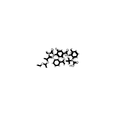 CCOC(C)OC(C)c1nn(-c2cc(OC(C)C3CCCCC3)c(C(=O)Nc3c(C)cccc3N(C(=O)O)C(C)(C)C)cc2F)c(=O)n1C